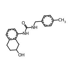 Cc1ccc(CNC(=O)Nc2cccc3c2CC(O)CC3)cc1